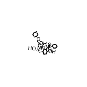 O=S(=O)(Nc1cc(C[C@@H](CO)NC[C@H](O)COc2ccccc2)ccc1O)c1ccccc1